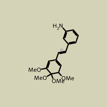 COC1=CC(/C=C/c2cccc(N)c2)=CC(OC)C1(OC)OC